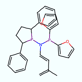 C=C(C)C=CN(P(c1ccco1)c1ccco1)P1C(c2ccccc2)CCC1c1ccccc1